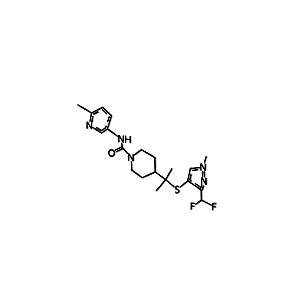 Cc1ccc(NC(=O)N2CCC(C(C)(C)Sc3cn(C)nc3C(F)F)CC2)cn1